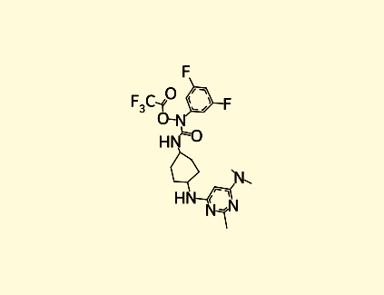 Cc1nc(NC2CCC(NC(=O)N(OC(=O)C(F)(F)F)c3cc(F)cc(F)c3)CC2)cc(N(C)C)n1